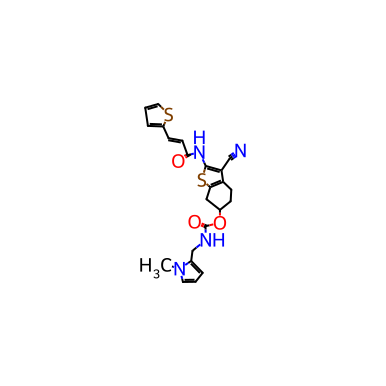 Cn1cccc1CNC(=O)OC1CCc2c(sc(NC(=O)C=Cc3cccs3)c2C#N)C1